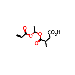 C=CC(=O)OC(C)OC(=O)C(C)CC(=O)O